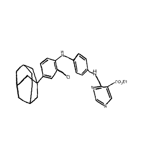 CCOC(=O)c1cncnc1Nc1ccc(Nc2ccc(C34CC5CC(CC(C5)C3)C4)cc2Cl)cc1